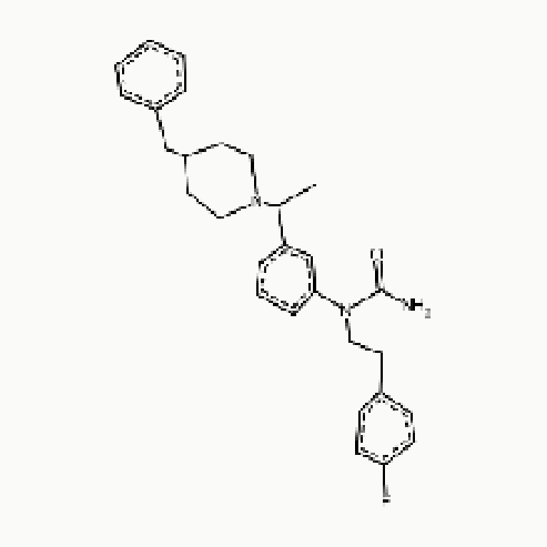 CC(c1cccc(N(CCc2ccc(F)cc2)C(N)=O)c1)N1CCC(Cc2ccccc2)CC1